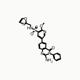 COc1ncc(-c2ccc3nc(N)n(-c4ccccc4)c(=O)c3c2)cc1S(=O)(=O)NCc1ncco1